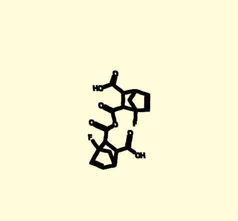 O=C(O)C1C2C=CC(F)(C2)C1C(=O)OC(=O)C1C(C(=O)O)C2C=CC1(F)C2